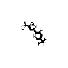 CC(=O)c1cc(-c2ncc(C(F)(F)F)cc2Cl)no1